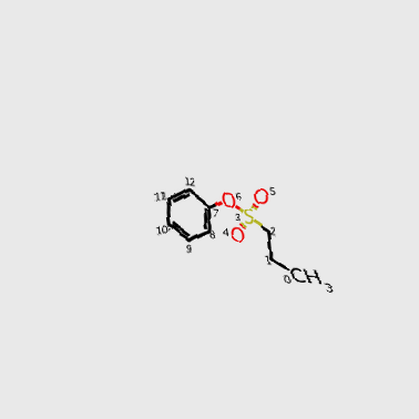 CCCS(=O)(=O)Oc1cc[c]cc1